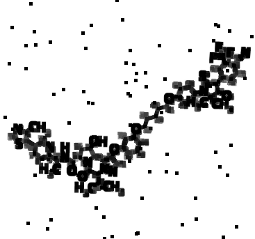 Cc1ncsc1-c1ccc([C@H](C)NC(=O)[C@@H]2C[C@@H](O)CN2C(=O)[C@H](C(C)C)n2cc(Oc3cccc(OCCCCCOc4ccc(N5C(=S)C(c6ccc(C#N)c(C(F)(F)F)c6)C(=O)C5(C)C)cc4)c3)cn2)nc1